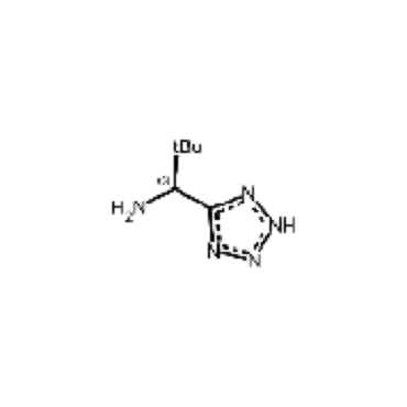 CC(C)(C)[C@H](N)c1nn[nH]n1